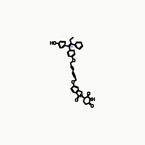 CC/C(=C(\c1ccc(O)cc1)c1ccc(OCC#CC#CCOc2ccc3c(c2)CN(C2CCC(=O)NC2=O)C3=O)cc1)c1ccccc1